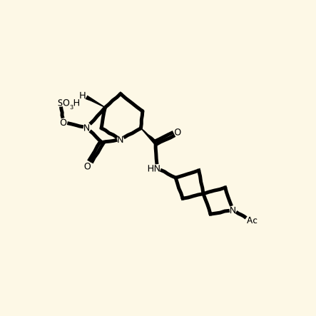 CC(=O)N1CC2(CC(NC(=O)[C@@H]3CC[C@@H]4CN3C(=O)N4OS(=O)(=O)O)C2)C1